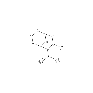 BC(B)C1C(CC)CC2CCCC1C2